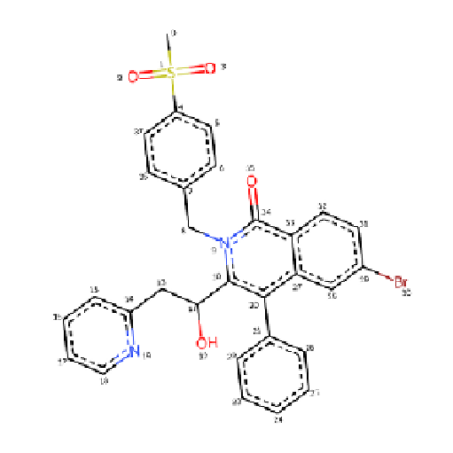 CS(=O)(=O)c1ccc(Cn2c(C(O)Cc3ccccn3)c(-c3ccccc3)c3cc(Br)ccc3c2=O)cc1